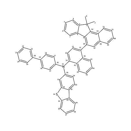 CC1(C)c2ccccc2-c2c(-c3ccc(N(c4ccc(-c5ccccc5)cc4)c4ccc5c(c4)sc4ccccc45)c4ccccc34)cc3ccccc3c21